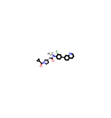 CN(C(=O)C[C@@H]1CCN(C(=O)C2CC2)C1)c1ccc(-c2ccc3cccnc3c2)cc1F